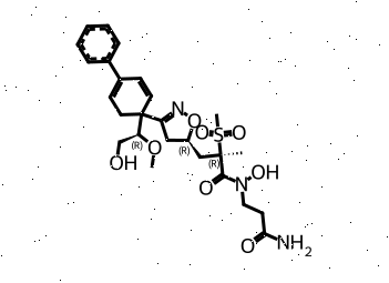 CO[C@@H](CO)C1(C2=NO[C@@H](C[C@](C)(C(=O)N(O)CCC(N)=O)S(C)(=O)=O)C2)C=CC(c2ccccc2)=CC1